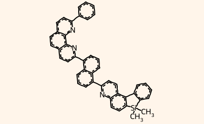 C[Si]1(C)c2ccccc2-c2c1ccc1nc(-c3cccc4c(-c5ccc6ccc7ccc(-c8ccccc8)nc7c6n5)cccc34)ccc21